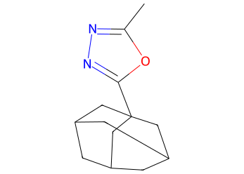 Cc1nnc(C23CC4CC(CC(C4)C2)C3)o1